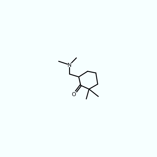 CN(C)CC1CCCC(C)(C)C1=O